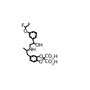 CC(Cc1ccc2c(c1)OC(C(=O)O)(C(=O)O)O2)NCC(O)c1cccc(OC(F)F)c1